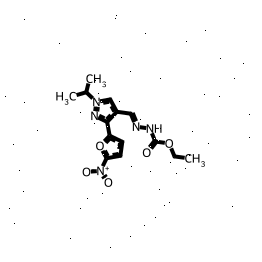 CCOC(=O)NN=Cc1cn(C(C)C)nc1-c1ccc([N+](=O)[O-])o1